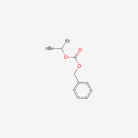 CCCCC(CC)OC(=O)OCc1ccccc1